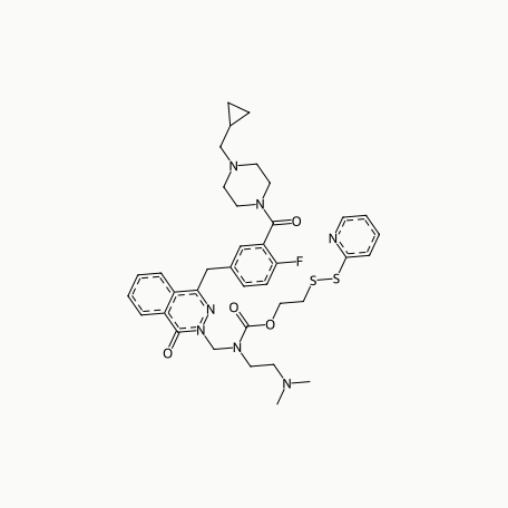 CN(C)CCN(Cn1nc(Cc2ccc(F)c(C(=O)N3CCN(CC4CC4)CC3)c2)c2ccccc2c1=O)C(=O)OCCSSc1ccccn1